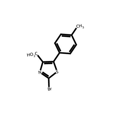 Cc1ccc(-c2sc(Br)nc2C(=O)O)cc1